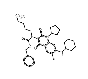 CCOC(=O)CCCCN(C(=O)OCc1ccccc1)n1c(=O)c2cc(F)c(NC3CCCCC3)cc2n(C2CCCC2)c1=O